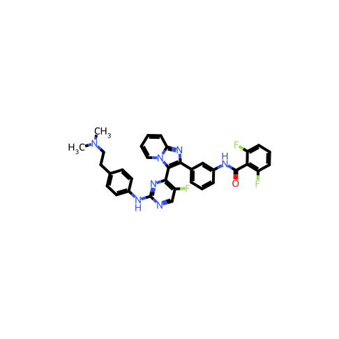 CN(C)CCc1ccc(Nc2ncc(F)c(-c3c(-c4cccc(NC(=O)c5c(F)cccc5F)c4)nc4ccccn34)n2)cc1